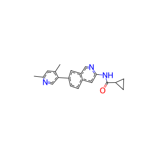 Cc1cc(C)c(-c2ccc3cc(NC(=O)C4CC4)ncc3c2)cn1